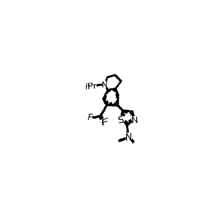 CC(C)N1CCCc2cc(-c3cnc(N(C)C)s3)c(C(F)F)cc21